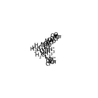 C=CC[NH3+].C=CC[NH3+].C=CC[NH3+].C=CC[NH3+].[O]=[Mn](=[O])([O-])[Cl].[O]=[Mn](=[O])([O-])[Cl].[O]=[Mn](=[O])([O-])[Cl].[O]=[Mn](=[O])([O-])[Cl]